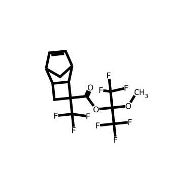 COC(OC(=O)C1(C(F)(F)F)CC2C3C=CC(C3)C21)(C(F)(F)F)C(F)(F)F